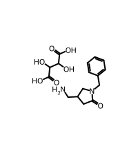 NCC1CC(=O)N(Cc2ccccc2)C1.O=C(O)C(O)C(O)C(=O)O